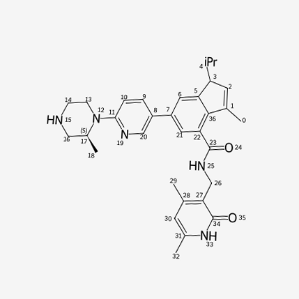 CC1=CC(C(C)C)c2cc(-c3ccc(N4CCNC[C@@H]4C)nc3)cc(C(=O)NCc3c(C)cc(C)[nH]c3=O)c21